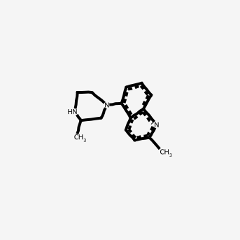 Cc1ccc2c(N3CCNC(C)C3)cccc2n1